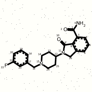 NC(=O)c1cccc2c1C(=O)N(C1CCN(Cc3cccc(F)c3)CC1)C2